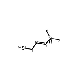 C[SiH](C)C=CCS